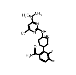 CCc1cc(N(C)C)nc(NC2CCC(c3c(C(N)=O)ccc(F)c3F)CC2)n1.Cl